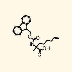 C=CCCCCC(C)(NC(=O)OCC1c2ccccc2-c2ccccc21)C(=O)O